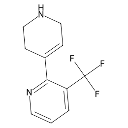 FC(F)(F)c1cccnc1C1=CCNCC1